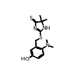 CN(C)c1ccc(O)cc1CSC1=NC(=S)C(C)(C)N1